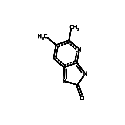 Cc1cc2c(nc1C)=NC(=O)N=2